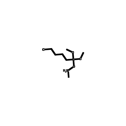 CO[Si](CCCCCl)(OC)O[SiH2]C